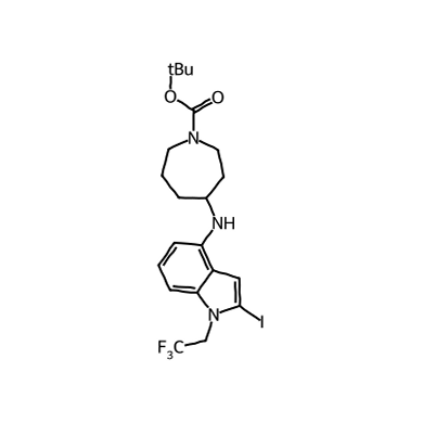 CC(C)(C)OC(=O)N1CCCC(Nc2cccc3c2cc(I)n3CC(F)(F)F)CC1